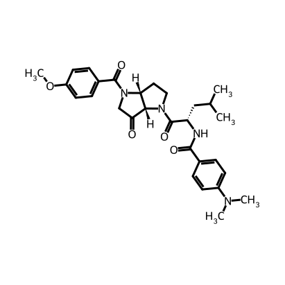 COc1ccc(C(=O)N2CC(=O)[C@@H]3[C@H]2CCN3C(=O)[C@H](CC(C)C)NC(=O)c2ccc(N(C)C)cc2)cc1